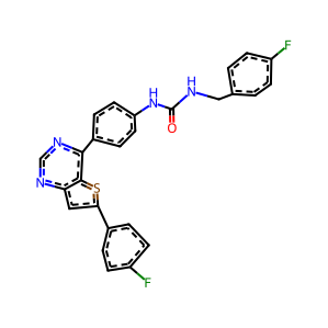 O=C(NCc1ccc(F)cc1)Nc1ccc(-c2ncnc3cc(-c4ccc(F)cc4)sc23)cc1